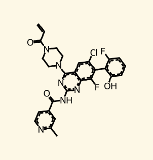 C=CC(=O)N1CCN(c2nc(NC(=O)c3ccnc(C)c3)nc3c(F)c(-c4c(O)cccc4F)c(Cl)cc23)CC1